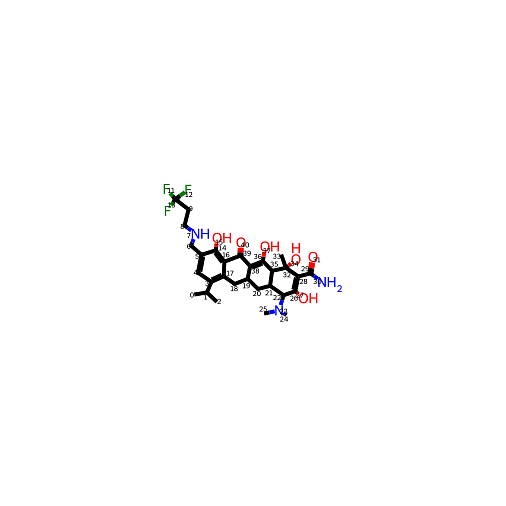 CC(C)c1cc(CNCCC(F)(F)F)c(O)c2c1CC1CC3C(N(C)C)C(O)=C(C(N)=O)C(C)(O)C3C(O)=C1C2=O